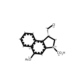 CC(=O)Oc1cc2c(c3ccccc13)[C@H](CCl)CN2C(=O)O